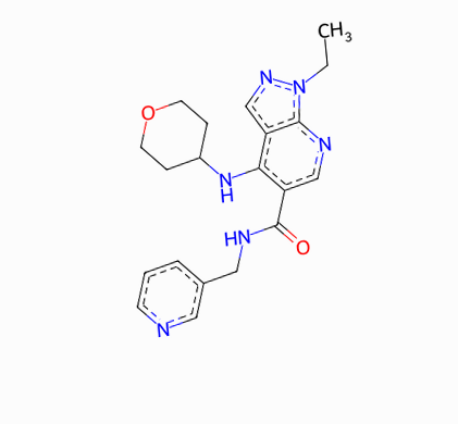 CCn1ncc2c(NC3CCOCC3)c(C(=O)NCc3cccnc3)cnc21